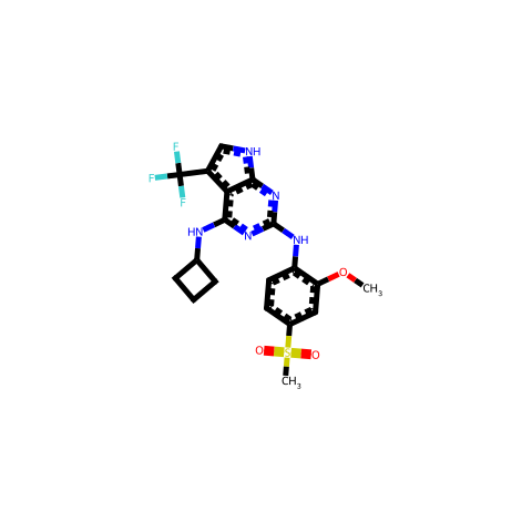 COc1cc(S(C)(=O)=O)ccc1Nc1nc(NC2CCC2)c2c(C(F)(F)F)c[nH]c2n1